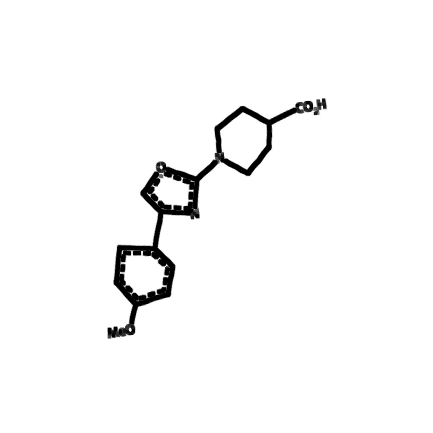 COc1ccc(-c2coc(N3CCC(C(=O)O)CC3)n2)cc1